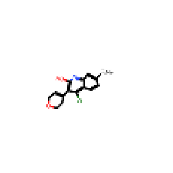 COc1ccc2c(Cl)c(C3=CCOCC3)c(O)nc2c1